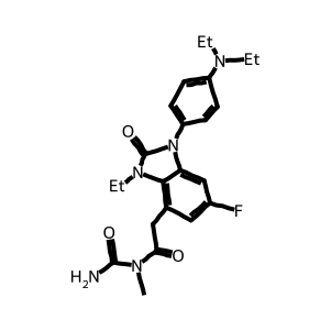 CCN(CC)c1ccc(-n2c(=O)n(CC)c3c(CC(=O)N(C)C(N)=O)cc(F)cc32)cc1